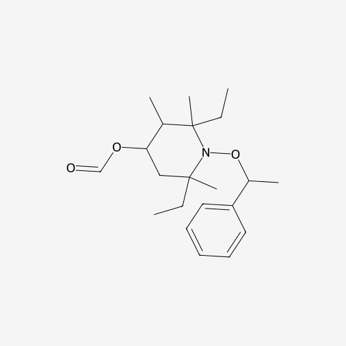 CCC1(C)CC(OC=O)C(C)C(C)(CC)N1OC(C)c1ccccc1